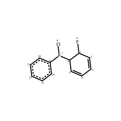 FC1C=CC=CC1P(Cl)c1ccccc1